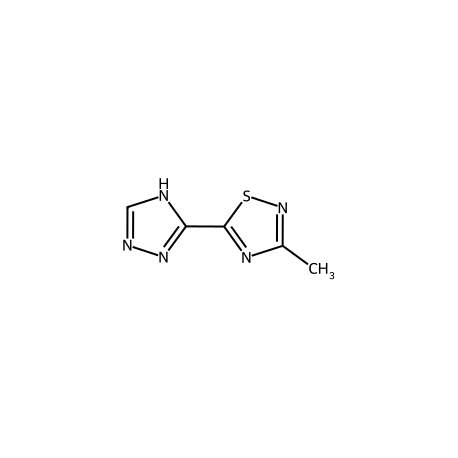 Cc1nsc(-c2nnc[nH]2)n1